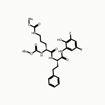 CC(C)(C)OC(=O)NCCC[C@H](NC(=O)OC(C)(C)C)C(=O)N[C@H](CCc1ccccc1)C(=O)Nc1cc(F)cc(F)c1O